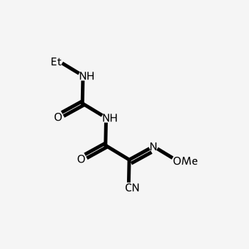 CCNC(=O)NC(=O)C(C#N)=NOC